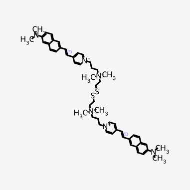 CN(C)c1ccc2cc(/C=C/c3cc[n+](CCC[N+](C)(C)CCSSCC[N+](C)(C)CCC[n+]4ccc(/C=C/c5ccc6cc(N(C)C)ccc6c5)cc4)cc3)ccc2c1